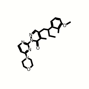 CCC(Cc1cnn(-c2nccc(N3CCOCC3)n2)c(=O)c1C)c1cccc(OC)c1C